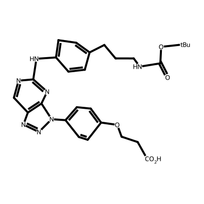 CC(C)(C)OC(=O)NCCCc1ccc(Nc2ncc3nnn(-c4ccc(OCCC(=O)O)cc4)c3n2)cc1